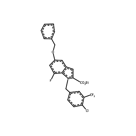 CCOC(=O)c1cc2cc(OCc3ccccc3)cc(F)c2n1Cc1ccc(Cl)c(C(F)(F)F)c1